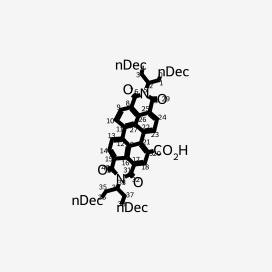 CCCCCCCCCCCC(CCCCCCCCCCC)N1C(=O)c2ccc3c4ccc5c6c(cc(C(=O)O)c(c7ccc(c2c37)C1=O)c64)C(=O)N(C(CCCCCCCCCCC)CCCCCCCCCCC)C5=O